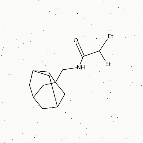 CCC(CC)C(=O)NCC12CC3CC(CC(C3)C1)C2